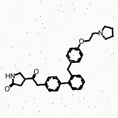 O=C1CC(C(=O)Cc2ccc(-c3ccccc3Cc3ccc(OCCN4CCCC4)cc3)cc2)CN1